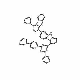 c1ccc(-c2ccc(-c3nc(-c4ccccc4)nc(-c4cccc5oc6cc(-c7ccc(-c8ccccc8)c8c7oc7ccccc78)ccc6c45)n3)cc2)cc1